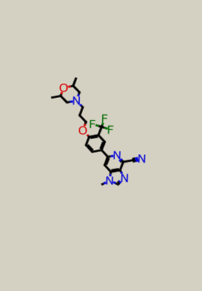 CC1CN(CCCOc2ccc(-c3cc4c(ncn4C)c(C#N)n3)cc2C(F)(F)F)CC(C)O1